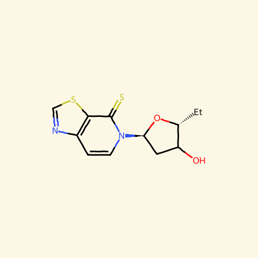 CC[C@H]1O[C@H](n2ccc3ncsc3c2=S)CC1O